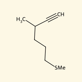 C#CC(C)CCCSC